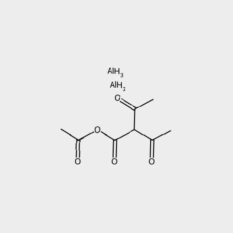 CC(=O)OC(=O)C(C(C)=O)C(C)=O.[AlH3].[AlH3]